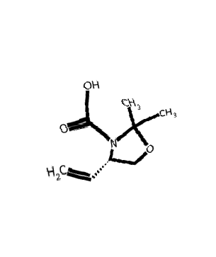 C=C[C@H]1COC(C)(C)N1C(=O)O